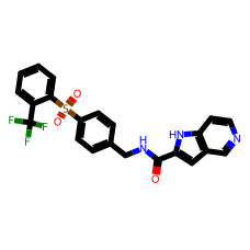 O=C(NCc1ccc(S(=O)(=O)c2ccccc2C(F)(F)F)cc1)c1cc2cnccc2[nH]1